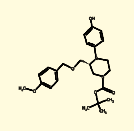 COc1ccc(COC[C@H]2CN(C(=O)OC(C)(C)C)CCN2c2ccc(O)cc2)cc1